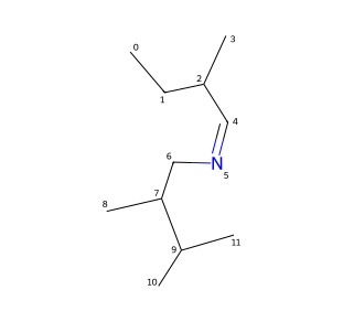 CCC(C)/C=N\CC(C)C(C)C